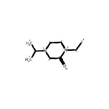 CC(C)N1CCN(CI)C(=O)C1